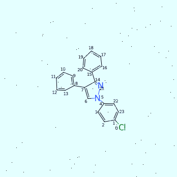 Clc1ccc(-n2cc(-c3ccccc3)c(-c3ccccc3)n2)cc1